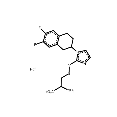 Cl.NC(CSSc1nccn1C1CCc2cc(F)c(F)cc2C1)C(=O)O